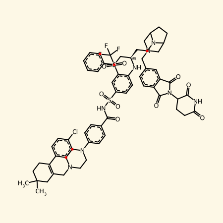 CC1(C)CCC(c2ccc(Cl)cc2)=C(CN2CCN(c3ccc(C(=O)NS(=O)(=O)c4ccc(N[C@H](CCN5C6CCC5CN(Cc5ccc7c(c5)C(=O)N(C5CCC(=O)NC5=O)C7=O)C6)CSc5ccccc5)c(S(=O)(=O)C(F)(F)F)c4)cc3)CC2)C1